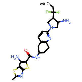 COCC(F)(F)C1CN(c2ccc3c(n2)CCC(NC(=O)c2sc4nc(C)sc4c2N)C3)CC1N